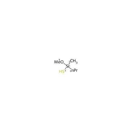 CCC[Si](C)(S)OC